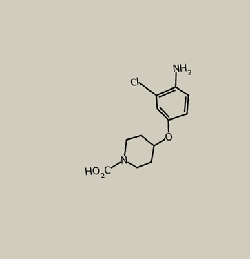 Nc1ccc(OC2CCN(C(=O)O)CC2)cc1Cl